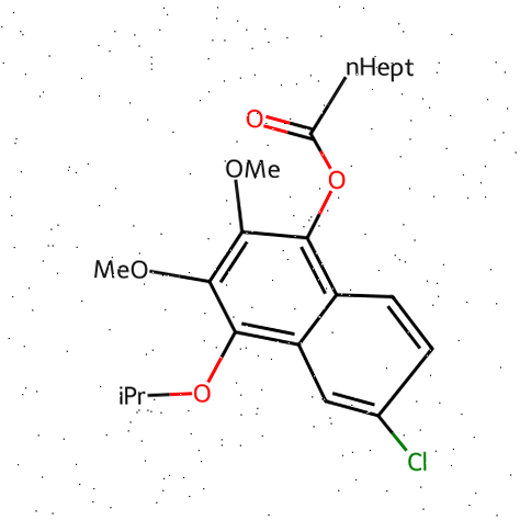 CCCCCCCC(=O)Oc1c(OC)c(OC)c(OC(C)C)c2cc(Cl)ccc12